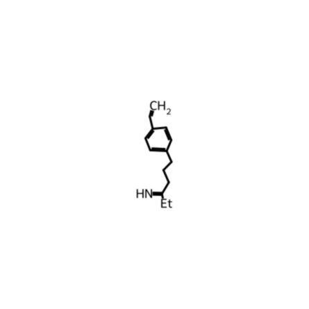 C=Cc1ccc(CCCC(=N)CC)cc1